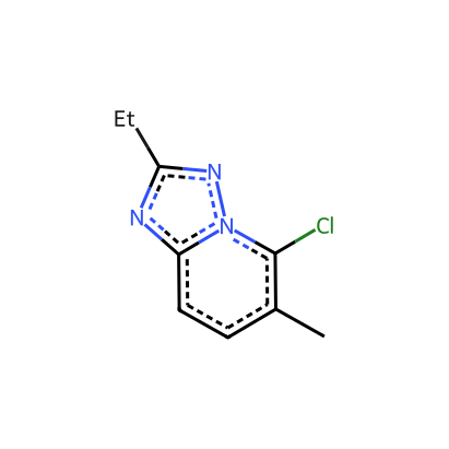 CCc1nc2ccc(C)c(Cl)n2n1